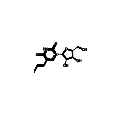 O=c1[nH]c(=O)n([C@@H]2O[C@H](CO)[C@@H](O)[C@@H]2O)cc1/C=C/I